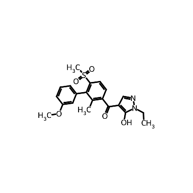 CCn1ncc(C(=O)c2ccc(S(C)(=O)=O)c(-c3cccc(OC)c3)c2C)c1O